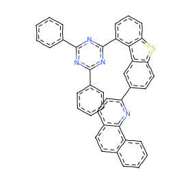 c1ccc(-c2nc(-c3ccccc3)nc(-c3cccc4sc5ccc(-c6ccc7ccc8ccccc8c7n6)cc5c34)n2)cc1